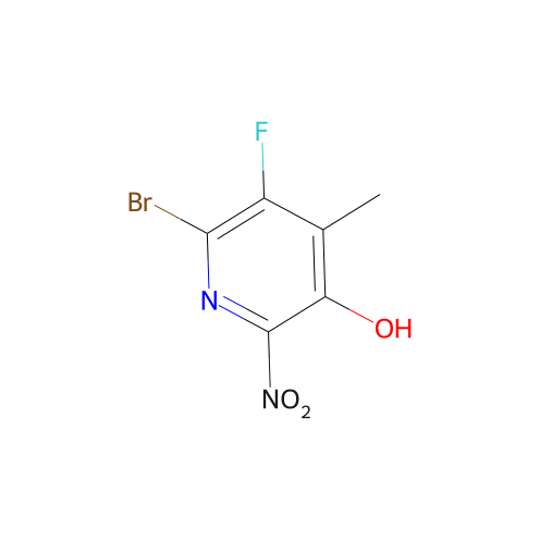 Cc1c(O)c([N+](=O)[O-])nc(Br)c1F